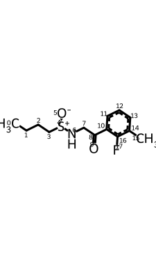 CCCC[S@@+]([O-])NCC(=O)c1cccc(C)c1F